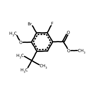 COC(=O)c1cc(C(C)(C)C)c(OC)c(Br)c1F